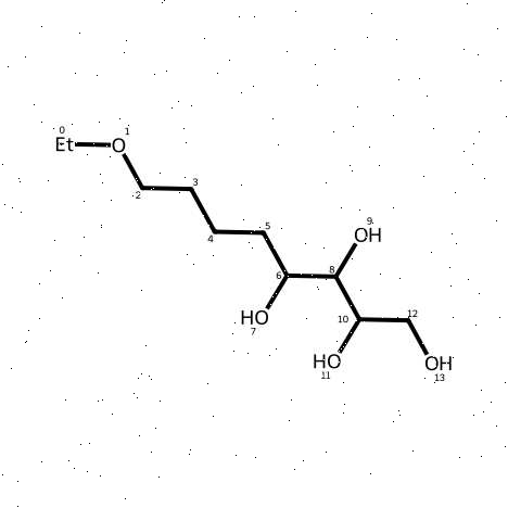 CCOCCCCC(O)C(O)C(O)CO